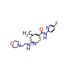 C=C1/C=C(/C(=O)Nc2ccc(F)cn2)SC/N=C(/NCCN2CCOCC2)S1